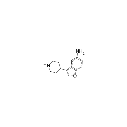 CN1CCC(c2coc3ccc(N)cc23)CC1